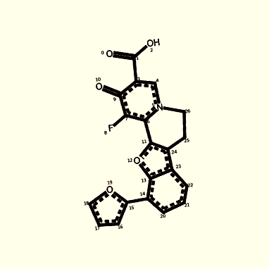 O=C(O)c1cn2c(c(F)c1=O)-c1oc3c(-c4ccco4)cccc3c1CC2